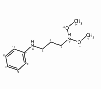 CO[SiH](CCCNc1ccccc1)OC